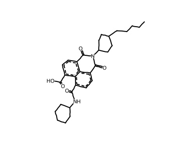 CCCCCC1CCC(N2C(=O)c3ccc(C(=O)O)c4c(C(=O)NC5CCCCC5)ccc(c34)C2=O)CC1